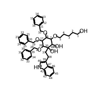 OCCCCCOC1C(OCc2ccccc2)C(OCc2ccccc2)C(OCc2ccccc2)C(O)(CCc2c[nH]c3ccccc23)C1O